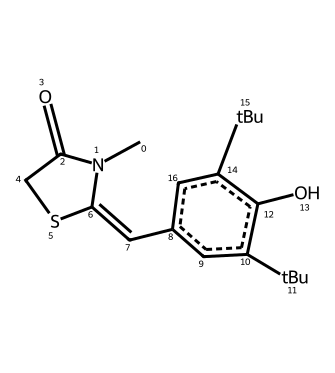 CN1C(=O)CSC1=Cc1cc(C(C)(C)C)c(O)c(C(C)(C)C)c1